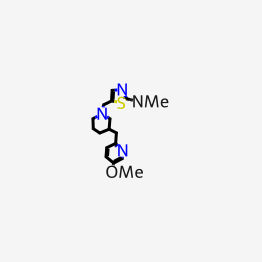 CNc1ncc(CN2CCCC(Cc3ccc(OC)cn3)C2)s1